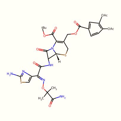 CC(=O)Oc1ccc(C(=O)OCC2=C(C(=O)OC(C)(C)C)N3C(=O)C(NC(=O)C(=NOC(C)(C)C(N)=O)c4csc(N)n4)[C@H]3SC2)cc1OC(C)=O